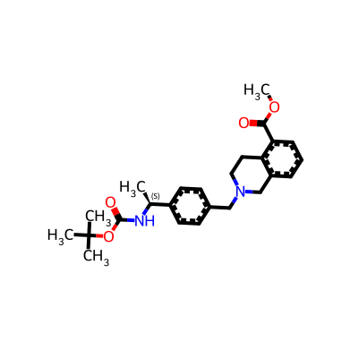 COC(=O)c1cccc2c1CCN(Cc1ccc([C@H](C)NC(=O)OC(C)(C)C)cc1)C2